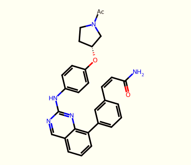 CC(=O)N1CC[C@@H](Oc2ccc(Nc3ncc4cccc(-c5cccc(C=CC(N)=O)c5)c4n3)cc2)C1